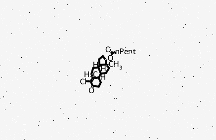 CCCCCC(=O)O[C@H]1CC[C@H]2[C@@H]3CCC4=C(Cl)C(=O)CC[C@]4(C)[C@H]3CC[C@]12C